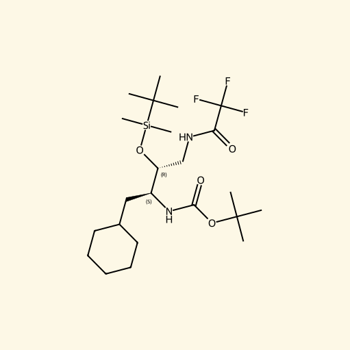 CC(C)(C)OC(=O)N[C@@H](CC1CCCCC1)[C@@H](CNC(=O)C(F)(F)F)O[Si](C)(C)C(C)(C)C